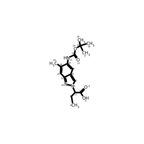 CCC(C(=O)O)n1cc2cc(NC(=O)OC(C)(C)C)c(C)cc2n1